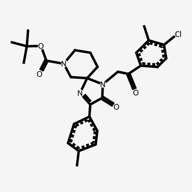 Cc1ccc(C2=NC3(CCCN(C(=O)OC(C)(C)C)C3)N(CC(=O)c3ccc(Cl)c(C)c3)C2=O)cc1